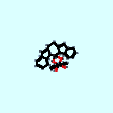 C#CC(=O)[O][Ti]1([O]C(=O)C#C)[CH]2C(=Cc3ccccc32)CCC2=Cc3ccccc3[CH]21